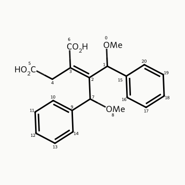 COC(C(=C(CC(=O)O)C(=O)O)C(OC)c1ccccc1)c1ccccc1